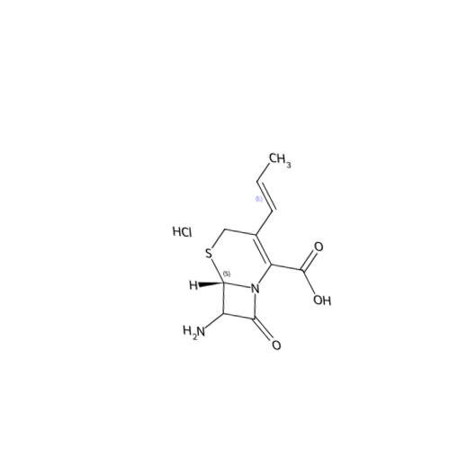 C/C=C/C1=C(C(=O)O)N2C(=O)C(N)[C@@H]2SC1.Cl